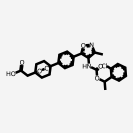 Cc1noc(-c2ccc(C34CCC(CC(=O)O)(CC3)OC4)cc2)c1NC(=O)OC(C)c1ccccc1Cl